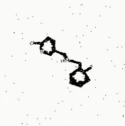 Fc1ccccc1CNCc1ccc(Cl)nc1